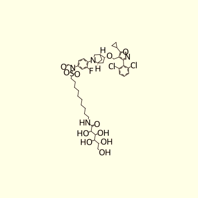 O=CN(c1ccc(N2C[C@@H]3C[C@H]2C[C@H]3OCc2c(-c3c(Cl)cccc3Cl)noc2C2CC2)c(F)c1)S(=O)(=O)CCCCCCCCCCNC(=O)[C@H](O)[C@@H](O)[C@H](O)[C@H](O)CO